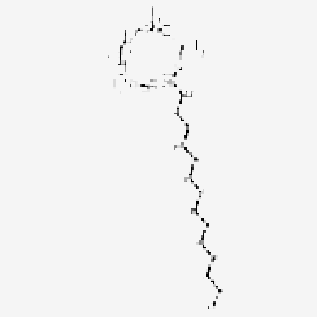 CCCCCCCCCCCCCC[SiH]1O[SiH2]O[SiH2]O[SiH2]O[SiH2]O1